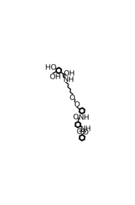 O=C(Nc1cccc(COCCOCCCCCCNC[C@@H](O)c2ccc(O)c(CO)c2)c1)c1cccc(NS(=O)(=O)c2ccccc2)c1